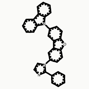 c1ccc(-c2nccn2-c2ccc3oc4ccc(-n5c6ccccc6c6ccccc65)cc4c3c2)cc1